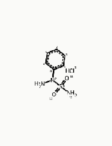 Cl.NN(c1ccccc1)S(N)(=O)=O